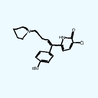 CC(C)(C)c1ccc(/C(=C\CCN2CCCC2)c2ccc(Cl)c(=O)[nH]2)cc1